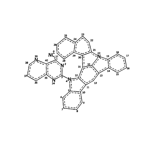 N#Cc1nc(-n2c3ccccc3c3cc4c5ccccc5n5c6ccc7ccccc7c6c(c32)c45)nc2cccnc12